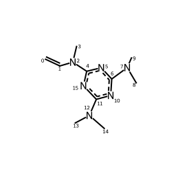 C=CN(C)c1nc(N(C)C)nc(N(C)C)n1